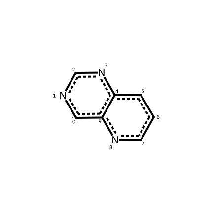 [c]1ncnc2cccnc12